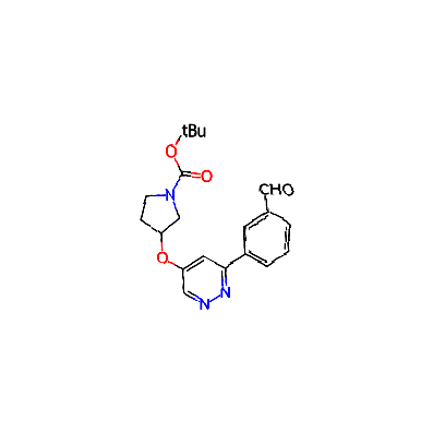 CC(C)(C)OC(=O)N1CCC(Oc2cnnc(-c3cccc(C=O)c3)c2)C1